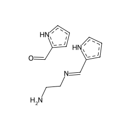 NCCN=Cc1ccc[nH]1.O=Cc1ccc[nH]1